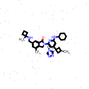 Cn1cnnc1[C@]1(c2cc(NC3CCCCC3)nc(N3Cc4c(cc(CNC5(C)CCC5)cc4C(F)(F)F)C3=O)c2)C[C@@H](C)C1